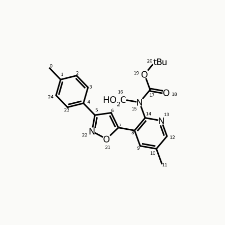 Cc1ccc(-c2cc(-c3cc(C)cnc3N(C(=O)O)C(=O)OC(C)(C)C)on2)cc1